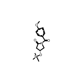 COc1ccc(C(=O)N2C[C@H](O[Si](C)(C)C)CC2=O)cc1